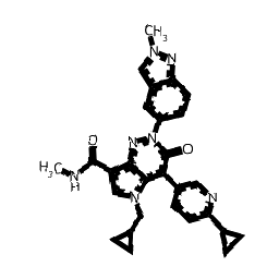 CNC(=O)c1cn(CC2CC2)c2c(-c3ccc(C4CC4)nc3)c(=O)n(-c3ccc4nn(C)cc4c3)nc12